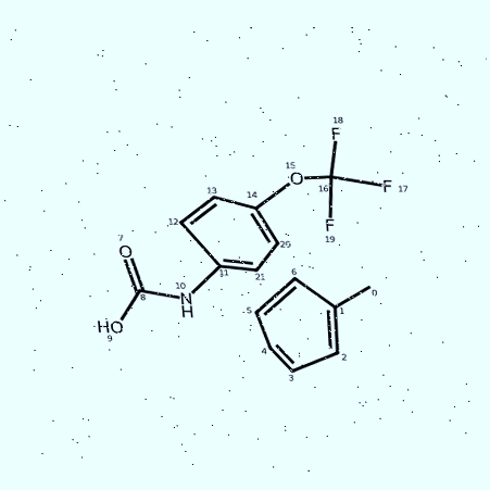 Cc1ccccc1.O=C(O)Nc1ccc(OC(F)(F)F)cc1